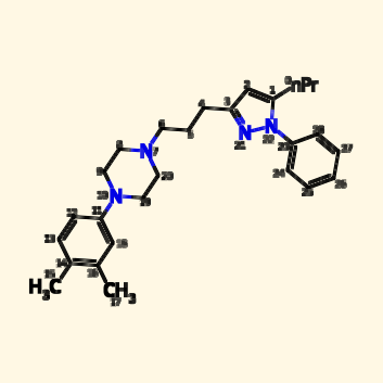 CCCc1cc(CCCN2CCN(c3ccc(C)c(C)c3)CC2)nn1-c1ccccc1